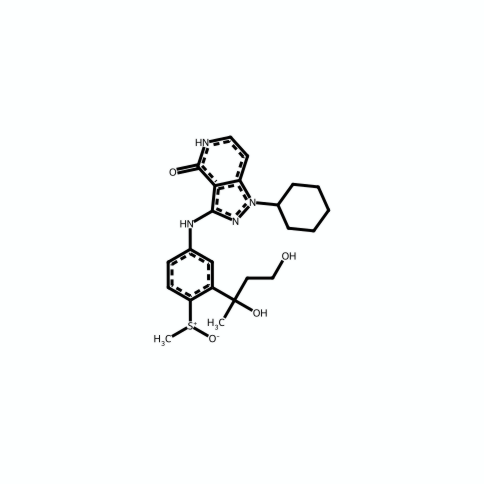 C[S+]([O-])c1ccc(Nc2nn(C3CCCCC3)c3cc[nH]c(=O)c23)cc1C(C)(O)CCO